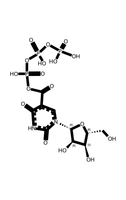 O=C(OP(=O)(O)OP(=O)(O)OP(=O)(O)O)c1cn([C@@H]2O[C@H](CO)[C@@H](O)[C@H]2O)c(=O)[nH]c1=O